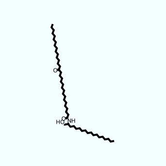 CCCCCCCCCCCCCCCCC(CO)NC(=O)CCCCCCCCCCCCCCCC(=O)CCCCCCCCCCCCCCC